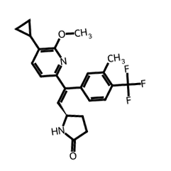 COc1nc(/C(=C/[C@H]2CCC(=O)N2)c2ccc(C(F)(F)F)c(C)c2)ccc1C1CC1